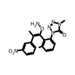 C/C(=C(\ON)c1c(C)cccc1-n1nnn(C)c1=O)c1cccc([N+](=O)[O-])c1